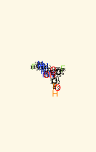 C[PH](=O)c1ccc([C@@H](NC(=O)c2cnc(-n3cc(F)cn3)nc2O)c2ccc(F)cc2)cc1